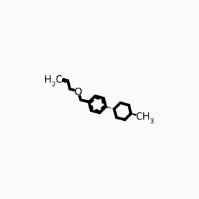 C=CCOCc1ccc([C@H]2CC[C@H](C)CC2)cc1